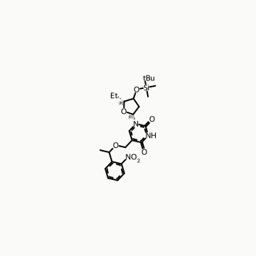 CC[C@H]1O[C@@H](n2cc(COC(C)c3ccccc3[N+](=O)[O-])c(=O)[nH]c2=O)CC1O[Si](C)(C)C(C)(C)C